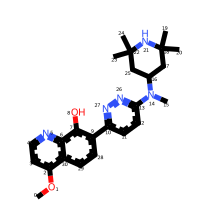 COc1ccnc2c(O)c(-c3ccc(N(C)C4CC(C)(C)NC(C)(C)C4)nn3)ccc12